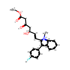 CCCCOC(=O)CC(=O)CC(O)/C=C/c1c(-c2ccc(F)cc2)c2ccccc2n1C(C)C